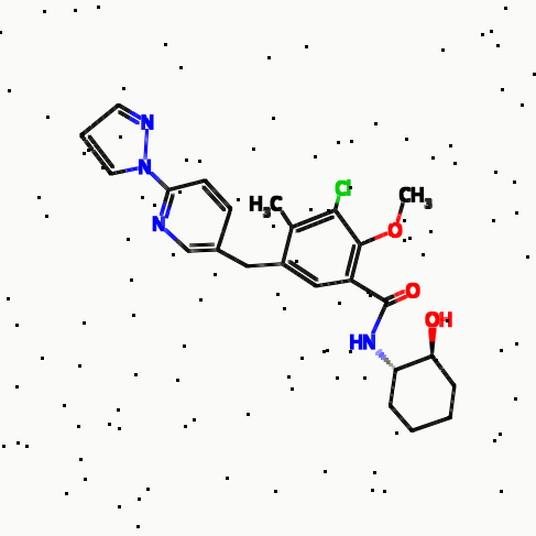 COc1c(C(=O)N[C@H]2CCCC[C@@H]2O)cc(Cc2ccc(-n3cccn3)nc2)c(C)c1Cl